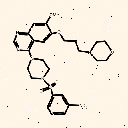 COc1cc2ncnc(N3CCN(S(=O)(=O)c4cccc([N+](=O)[O-])c4)CC3)c2cc1OCCCN1CCOCC1